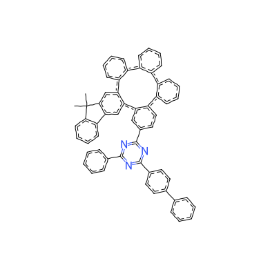 CC1(C)c2ccccc2-c2cc3c4cc(-c5nc(-c6ccccc6)nc(-c6ccc(-c7ccccc7)cc6)n5)ccc4c4ccccc4c4ccccc4c4ccccc4c3cc21